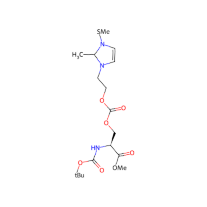 COC(=O)[C@H](COC(=O)OCCN1C=CN(SC)C1C)NC(=O)OC(C)(C)C